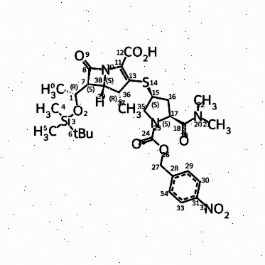 C[C@@H](O[Si](C)(C)C(C)(C)C)[C@H]1C(=O)N2C(C(=O)O)=C(S[C@H]3C[C@@H](C(=O)N(C)C)N(C(=O)OCc4ccc([N+](=O)[O-])cc4)C3)[C@H](C)[C@H]12